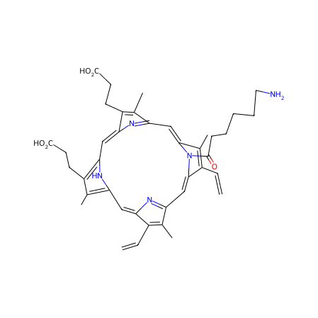 C=CC1=C(C)c2cc3c(C=C)c(C)c(cc4nc(cc5[nH]c(cc1n2)c(C)c5CCC(=O)O)C(CCC(=O)O)=C4C)n3C(=O)CCCCCN